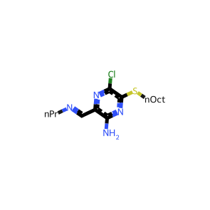 CCCCCCCCSc1nc(N)c(C=NCCC)nc1Cl